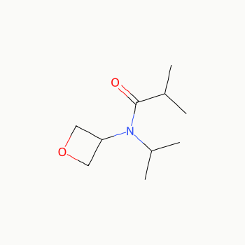 CC(C)C(=O)N(C(C)C)C1COC1